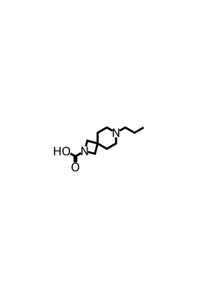 CCCN1CCC2(CC1)CN(C(=O)O)C2